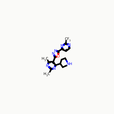 Cc1nc(C)c(-c2nnc(-c3ccnc(C(F)(F)F)n3)o2)c(C2CCNCC2)n1